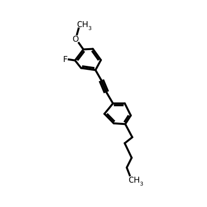 CCCCCc1ccc(C#Cc2ccc(OC)c(F)c2)cc1